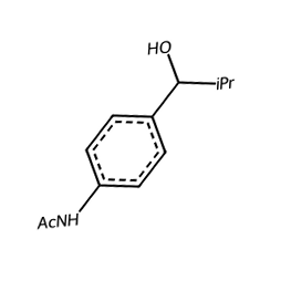 CC(=O)Nc1ccc(C(O)C(C)C)cc1